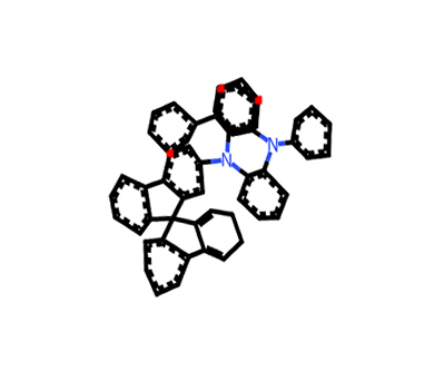 C1=C2C(=CCC1)C1(c3ccccc32)c2ccccc2-c2ccc(N(c3ccccc3-c3ccccc3)c3ccccc3N(c3ccccc3)c3ccccc3)cc21